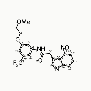 COCCOc1cc(NC(=O)Cn2cnc3cccc([N+](=O)[O-])c32)cc(C(F)(F)F)c1